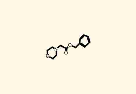 O=C(CN1CCOCC1)OCc1ccccc1